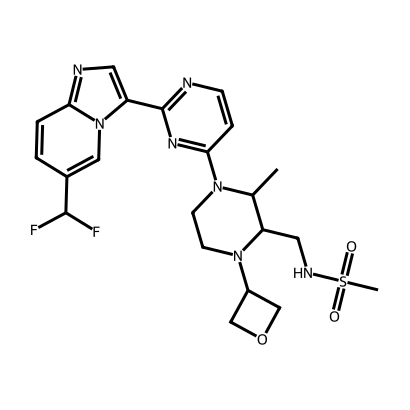 CC1C(CNS(C)(=O)=O)N(C2COC2)CCN1c1ccnc(-c2cnc3ccc(C(F)F)cn23)n1